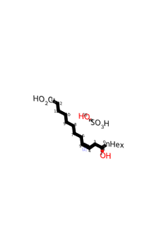 CCCCCCC(O)C/C=C\CCCCCCCC(=O)O.O=S(=O)(O)O